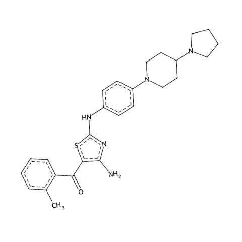 Cc1ccccc1C(=O)c1sc(Nc2ccc(N3CCC(N4CCCC4)CC3)cc2)nc1N